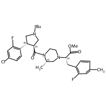 COC(=O)[C@H](Cc1ccc(C)cc1F)N1CCN(C(=O)[C@@H]2CN(C(C)(C)C)C[C@H]2c2ccc(Cl)cc2F)[C@@H](C)C1